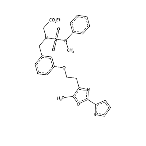 CCOC(=O)CN(Cc1cccc(OCCc2nc(-c3cccs3)oc2C)c1)S(=O)(=O)N(C)c1ccccc1